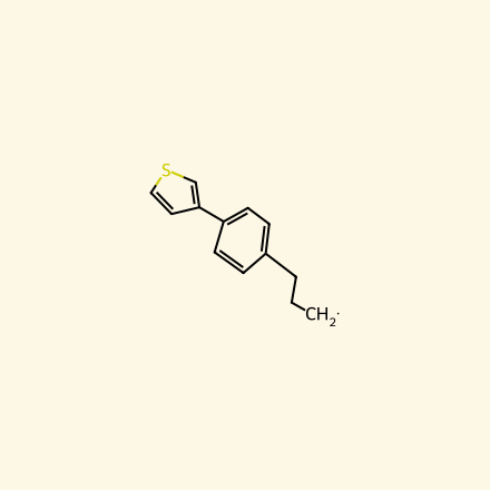 [CH2]CCc1ccc(-c2ccsc2)cc1